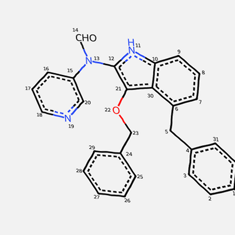 Cc1ccc(Cc2cccc3[nH]c(N(C=O)c4cccnc4)c(OCc4ccccc4)c23)cc1